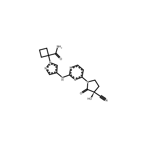 N#C[C@@]1(O)CCN(c2ccnc(Nc3cnn(C4(C(N)=O)CCC4)c3)n2)C1=O